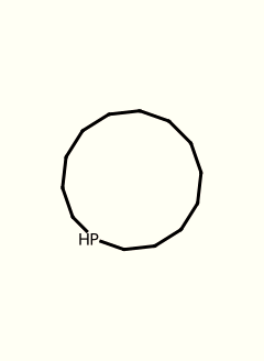 C1CCCCCCPCCCCCC1